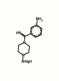 CCCCCCCN1CCN(C(=N)c2cccc(N)c2)CC1